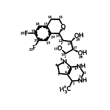 CC1NCNC2=C1CCN2[C@@H]1O[C@H]([C@@H]2OCCc3cc(F)c(F)cc32)[C@@H](O)[C@H]1O